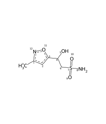 Cc1cc(C(O)CS(N)(=O)=O)on1